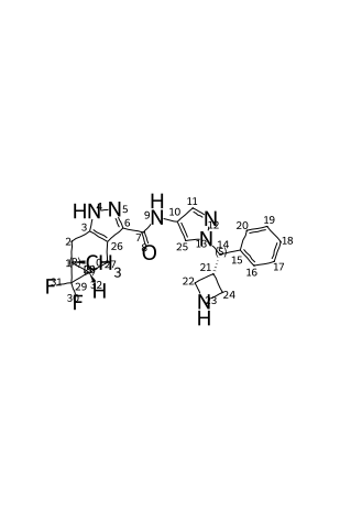 C[C@@]12Cc3[nH]nc(C(=O)Nc4cnn([C@H](c5ccccc5)C5CNC5)c4)c3C[C@@H]1C2(F)F